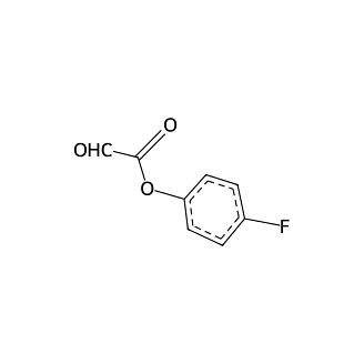 O=CC(=O)Oc1ccc(F)cc1